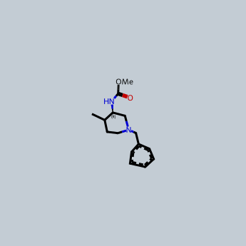 COC(=O)N[C@H]1CN(Cc2ccccc2)CCC1C